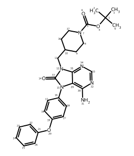 CC(C)(C)OC(=O)N1CCC(Cn2c(=O)n(-c3ccc(Oc4ccccc4)cc3)c3c(N)ncnc32)CC1